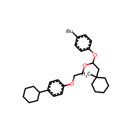 CCC(C)c1ccc(OC(CC2(C)CCCCC2)OCCOc2ccc(C3CCCCC3)cc2)cc1